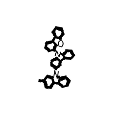 Cc1ccc2c3ccccc3n(-c3ccc4c(c3)c3ccccc3n4-c3cccc4c3oc3ccccc34)c2c1